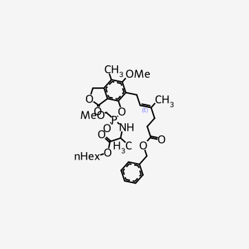 CCCCCCOC(=O)C(C)NP(=O)(COC)Oc1c(C/C=C(\C)CCC(=O)OCc2ccccc2)c(OC)c(C)c2c1C(=O)OC2